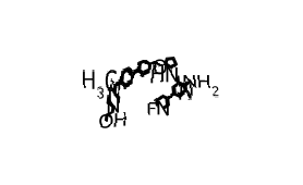 C[C@@H](c1ccc(-c2ccc(CO[C@H]3CCC[C@@H]3NCc3cc(-c4ccc(F)nc4)cnc3N)cc2)cc1)N1CCN(CCO)CC1